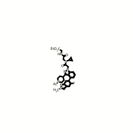 CCOC(=O)CNC(=O)CN(C(=O)Cn1nc(C2CCN(C(C)=O)CC2)c2c(-c3cc4nn(C)cc4cc3F)cccc21)C1CC1